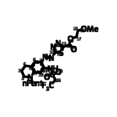 CCCCCN1CCCc2cc(N=Nc3nnc(C(=O)OCCOC)s3)c(NS(=O)(=O)CC(F)(F)F)cc21